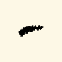 CCCCCCCC(=O)/N=c1\ccn(-c2ccccc2)nc1